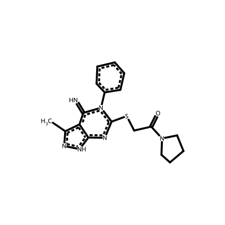 Cc1n[nH]c2nc(SCC(=O)N3CCCC3)n(-c3ccccc3)c(=N)c12